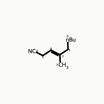 CCCCCC(C)=CCC#N